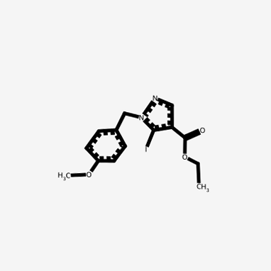 CCOC(=O)c1cnn(Cc2ccc(OC)cc2)c1I